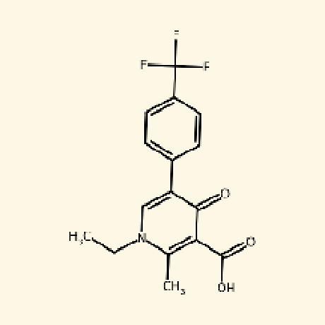 CCn1cc(-c2ccc(C(F)(F)F)cc2)c(=O)c(C(=O)O)c1C